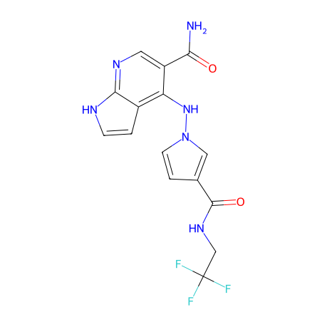 NC(=O)c1cnc2[nH]ccc2c1Nn1ccc(C(=O)NCC(F)(F)F)c1